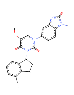 Cn1c(=O)[nH]c2cc(-n3cc(OC(=O)O)c(=O)n([C@@H]4CCc5c4cccc5C(F)(F)F)c3=O)ccc21